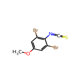 COc1cc(Br)c(N=C=S)c(Br)c1